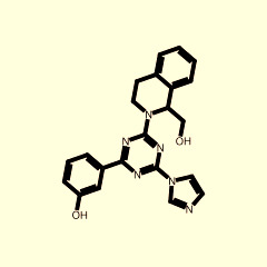 OCC1c2ccccc2CCN1c1nc(-c2cccc(O)c2)nc(-n2ccnc2)n1